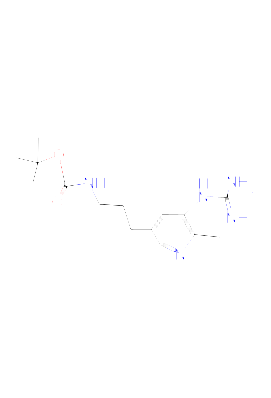 Cc1ncc(CCCNC(=O)OC(C)(C)C)cc1NC(=N)N